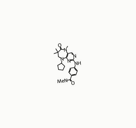 CNC(=O)c1ccc(Nc2ncc3c(n2)N(C2CCCC2)CC(C)(C)C(=O)N3C)cc1